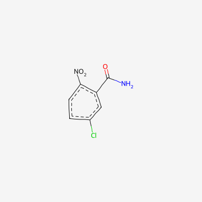 NC(=O)c1cc(Cl)ccc1[N+](=O)[O-]